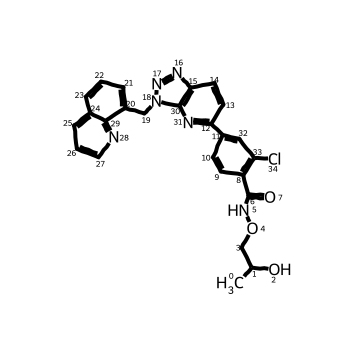 CC(O)CONC(=O)c1ccc(-c2ccc3nnn(Cc4cccc5cccnc45)c3n2)cc1Cl